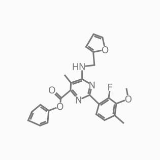 COc1c(C)ccc(-c2nc(NCc3ccco3)c(C)c(C(=O)Oc3ccccc3)n2)c1F